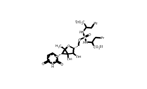 CCOC(=O)C(CC(C)C)NP(=O)(NC(CC(C)C)C(=O)OCC)OC[C@H]1OC2(C)[C@@H](n3ccc(=O)[nH]c3=O)C2(O)C1O